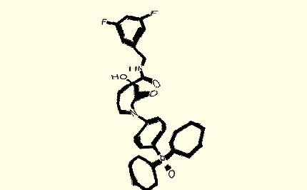 O=C(NCc1cc(F)cc(F)c1)[C@@]1(O)CCN(c2ccc(P(=O)(C3CCCCC3)C3CCCCC3)cc2)C1=O